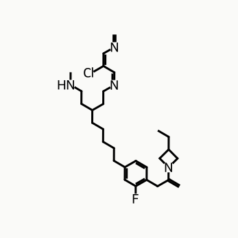 C=N/C=C(Cl)\C=N/CCC(CCCCCc1ccc(CC(=C)N2CC(CC)C2)c(F)c1)CCNC